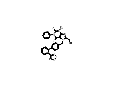 CCn1c(=O)n(-c2ccccc2)c(=O)c2c1nc(CC(C)(C)C)n2Cc1ccc(-c2ccccc2-c2nnn[nH]2)cc1